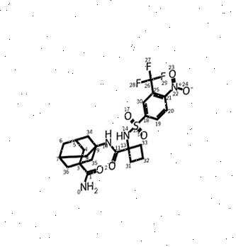 NC(=O)C12CC3CC(CC(NC(=O)C4(NS(=O)(=O)c5ccc([N+](=O)[O-])c(C(F)(F)F)c5)CCC4)(C3)C1)C2